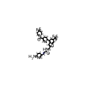 Nc1ccc(/C=C/C(=O)NCc2cc3c(-c4ccc(C(=O)N5CCC(F)(F)CC5)cn4)cc(C(F)(F)F)cc3o2)cn1